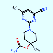 Cc1cc(C#N)nc(N2CCC(C)(OC(N)=O)CC2)n1